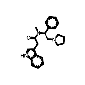 CN(C(=O)Cc1c[nH]c2ccccc12)[C@H](CN1CCCC1)c1ccccc1